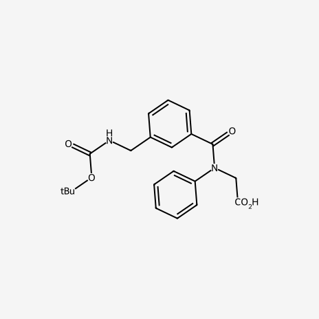 CC(C)(C)OC(=O)NCc1cccc(C(=O)N(CC(=O)O)c2ccccc2)c1